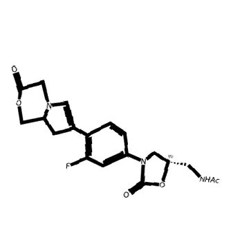 CC(=O)NC[C@H]1CN(c2ccc(C3=CN4CC(=O)OCC4C3)c(F)c2)C(=O)O1